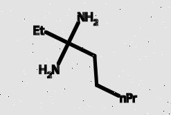 [CH2]CCCCC(N)(N)CC